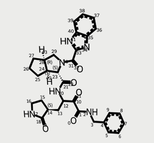 O=C(NCc1ccccc1)C(=O)C(C[C@@H]1CCNC1=O)NC(=O)[C@@H]1[C@H]2CCC[C@H]2CN1C(=O)c1nc2ccccc2[nH]1